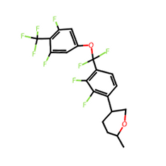 CC1CCC(c2ccc(C(F)(F)Oc3cc(F)c(C(F)(F)F)c(F)c3)c(F)c2F)CO1